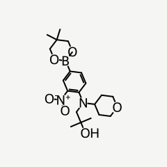 CC(C)(O)CN(c1ccc(B2OCC(C)(C)CO2)cc1[N+](=O)[O-])C1CCOCC1